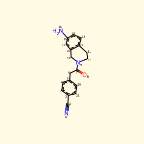 N#Cc1ccc(CC(=O)N2CCc3ccc(N)cc3C2)cc1